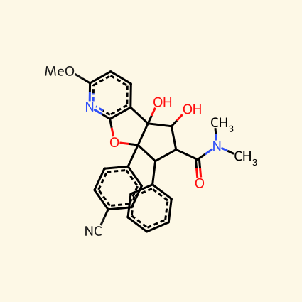 COc1ccc2c(n1)OC1(c3ccc(C#N)cc3)C(c3ccccc3)C(C(=O)N(C)C)C(O)C21O